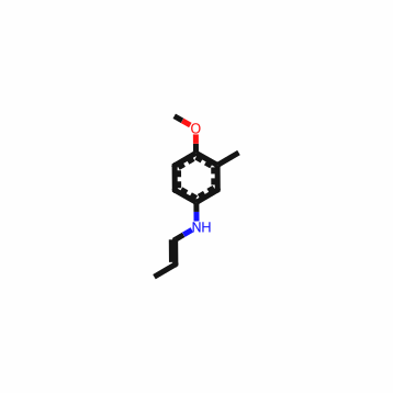 CC=CNc1ccc(OC)c(C)c1